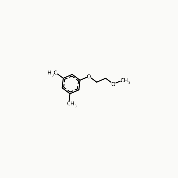 COCCOc1cc(C)cc(C)c1